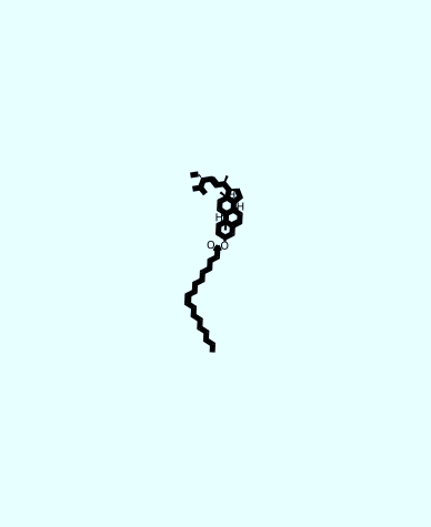 CCCCCCCC/C=C\CCCCCCCC(=O)O[C@H]1CC[C@@]2(C)C(=CC[C@H]3[C@@H]4CC[C@H]([C@H](C)/C=C/[C@@H](CC)C(C)C)[C@@]4(C)CC[C@@H]32)C1